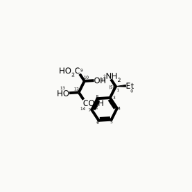 CC[C@H](N)c1ccccc1.O=C(O)C(O)C(O)C(=O)O